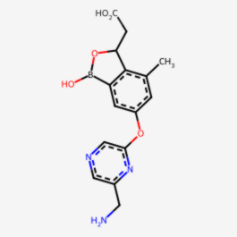 Cc1cc(Oc2cncc(CN)n2)cc2c1C(CC(=O)O)OB2O